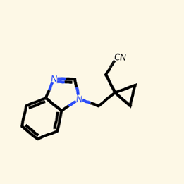 N#CCC1(Cn2cnc3ccccc32)CC1